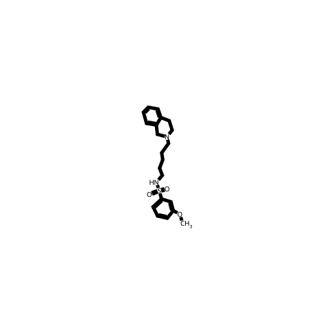 COc1cccc(S(=O)(=O)NCCCCCN2CCc3ccccc3C2)c1